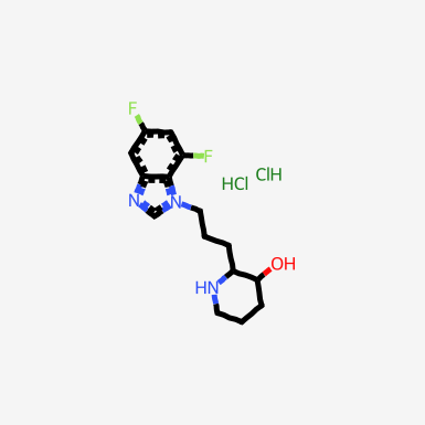 Cl.Cl.OC1CCCNC1CCCn1cnc2cc(F)cc(F)c21